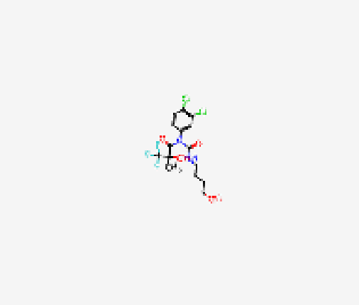 CC(O)(C(=O)N(C(=O)NCCCCO)c1ccc(Cl)c(Cl)c1)C(F)(F)F